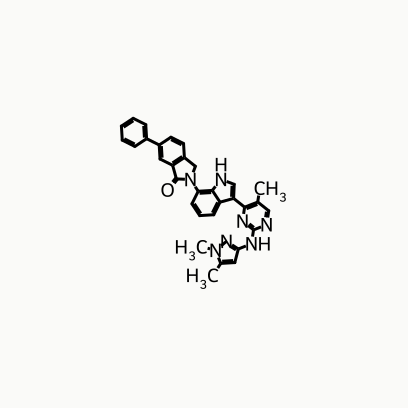 Cc1cnc(Nc2cc(C)n(C)n2)nc1-c1c[nH]c2c(N3Cc4ccc(-c5ccccc5)cc4C3=O)cccc12